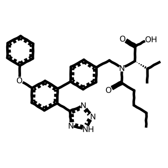 CCCCC(=O)N(Cc1ccc(-c2cc(Oc3ccccc3)ccc2-c2nn[nH]n2)cc1)[C@H](C(=O)O)C(C)C